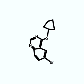 Brc1ccc2ncnc(SC3CCCC3)c2c1